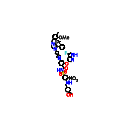 COc1cc(CN2CCN(C3CC4(C3)CN(c3ccc(C(=O)NS(=O)(=O)c5ccc(NCC6CCC(C)(O)CC6)c([N+](=O)[O-])c5)c(Oc5cnc6[nH]cc(F)c6c5)c3)C4)[C@H](c3ccccc3C(C)C)C2)ccc1C